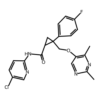 Cc1ncc(OCC2(c3ccc(F)cc3)CC2C(=O)Nc2ccc(Cl)cn2)c(C)n1